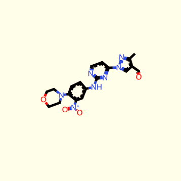 Cc1nn(-c2ccnc(Nc3ccc(N4CCOCC4)c([N+](=O)[O-])c3)n2)cc1C=O